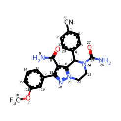 N#Cc1ccc(C2c3c(C(N)=O)c(-c4cccc(OC(F)(F)F)c4)nn3CCN2C(N)=O)cc1